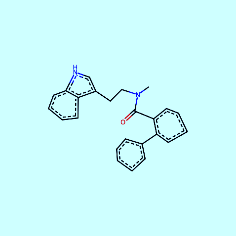 CN(CCc1c[nH]c2ccccc12)C(=O)c1ccccc1-c1ccccc1